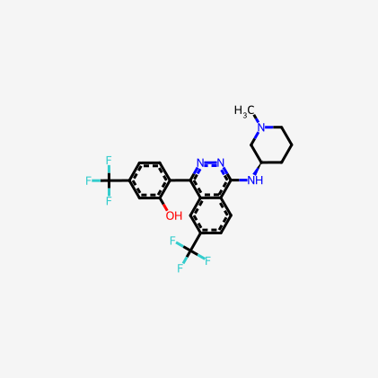 CN1CCC[C@@H](Nc2nnc(-c3ccc(C(F)(F)F)cc3O)c3cc(C(F)(F)F)ccc23)C1